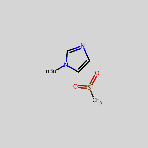 CCCCn1ccnc1.O=[S+](=O)C(F)(F)F